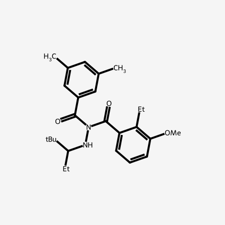 CCc1c(OC)cccc1C(=O)N(NC(CC)C(C)(C)C)C(=O)c1cc(C)cc(C)c1